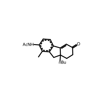 CCCCC12CCC(=O)C=C1c1ccc(NC(C)=O)c(C)c1C2